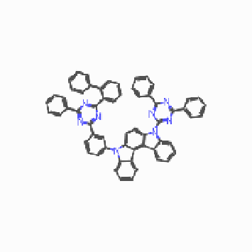 c1ccc(-c2nc(-c3cccc(-n4c5ccccc5c5c6c7ccccc7n(-c7nc(-c8ccccc8)nc(-c8ccccc8)n7)c6ccc54)c3)nc(-c3ccccc3-c3ccccc3)n2)cc1